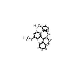 CSc1ccc2c(c1)C(c1ccccc1F)=[N+]([O-])Cc1ncc(C)n1-2